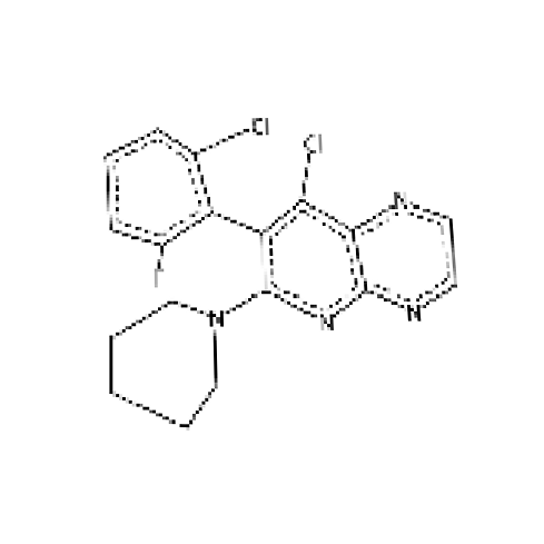 Fc1cccc(Cl)c1-c1c(N2CCCCC2)nc2nccnc2c1Cl